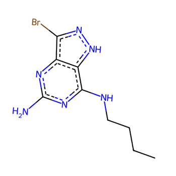 CCCCNc1nc(N)nc2c(Br)n[nH]c12